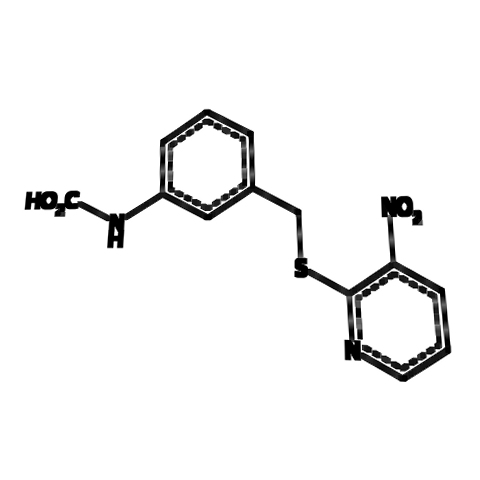 O=C(O)Nc1cccc(CSc2ncccc2[N+](=O)[O-])c1